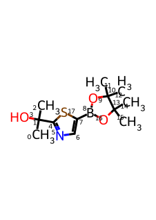 CC(C)(O)c1ncc(B2OC(C)(C)C(C)(C)O2)s1